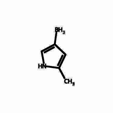 Bc1c[nH]c(C)c1